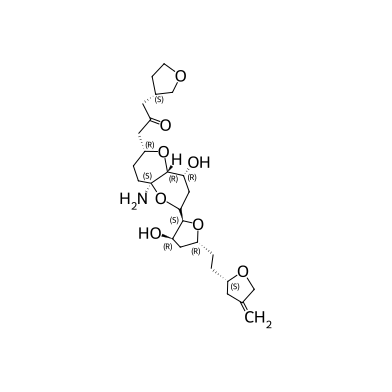 C=C1CO[C@@H](CC[C@@H]2C[C@@H](O)[C@@H](C3C[C@@H](O)[C@H]4O[C@@H](CC(=O)C[C@@H]5CCOC5)CC[C@]4(N)O3)O2)C1